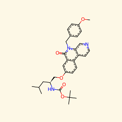 COc1ccc(Cn2c(=O)c3cc(OC[C@H](CC(C)C)NC(=O)OC(C)(C)C)ccc3c3ccncc32)cc1